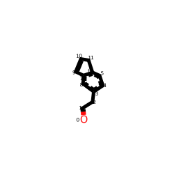 O=CCc1ccc2c(c1)C=CC2